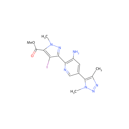 COC(=O)c1c(I)c(-c2ncc(-c3c(C)nnn3C)cc2N)nn1C